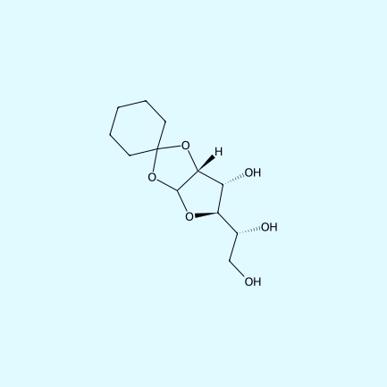 OC[C@@H](O)[C@H]1OC2OC3(CCCCC3)O[C@@H]2[C@@H]1O